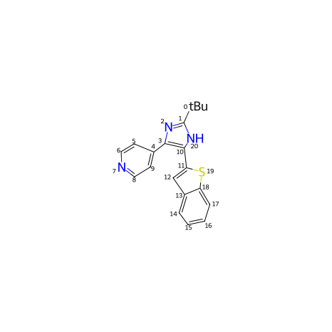 CC(C)(C)c1nc(-c2ccncc2)c(-c2cc3ccccc3s2)[nH]1